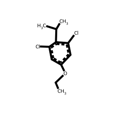 CCOc1cc(Cl)c(C(C)C)c(Cl)c1